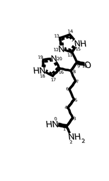 N=C(N)CCC[CH]CC(C(=O)c1ncc[nH]1)c1c[nH]cn1